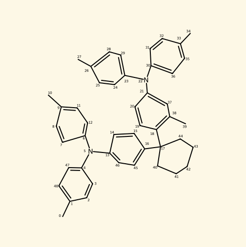 Cc1ccc(N(c2ccc(C)cc2)c2ccc(C3(c4ccc(N(c5ccc(C)cc5)c5ccc(C)cc5)cc4C)CCCCC3)cc2)cc1